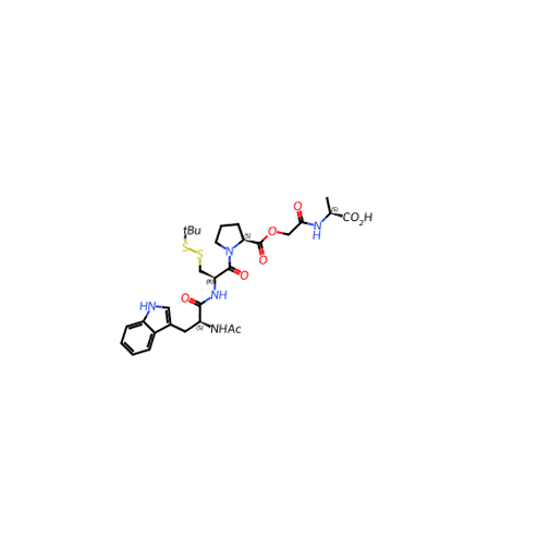 CC(=O)N[C@@H](Cc1c[nH]c2ccccc12)C(=O)N[C@@H](CSSC(C)(C)C)C(=O)N1CCC[C@H]1C(=O)OCC(=O)N[C@@H](C)C(=O)O